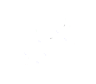 C=CC(=O)N1C[C@@H](c2cc(Cl)nc(-c3cc(C(=O)NC)ncn3)c2)N(C)[C@@H](C(F)(F)F)C1